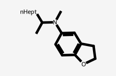 CCCCCCCC(C)N(C)c1ccc2c(c1)CCO2